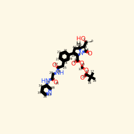 C[C@@H](O)[C@H]1C(=O)N2C(C(=O)OCOC(=O)C(C)(C)C)=C(c3cccc(CC(=O)NCC(=O)Nc4cccnc4)c3)C[C@H]12